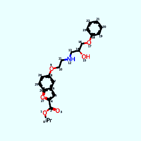 CC(C)OC(=O)c1cc2cc(OCCNC[C@H](O)COc3ccccc3)ccc2o1